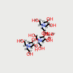 OCC[N+](CCO)(CCO)CCO.OCC[N+](CCO)(CCO)CCO.OCC[N+](CCO)(CCO)CCO.[O-]B([O-])[O-]